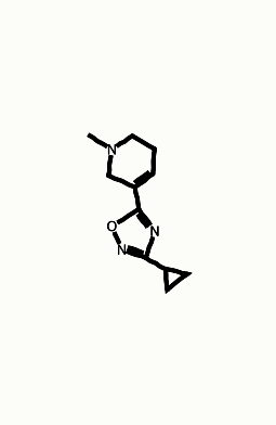 CN1CCC=C(c2nc(C3CC3)no2)C1